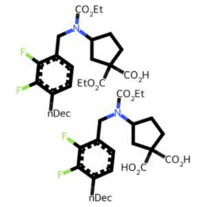 CCCCCCCCCCc1ccc(CN(C(=O)OCC)C2CCC(C(=O)O)(C(=O)O)C2)c(F)c1F.CCCCCCCCCCc1ccc(CN(C(=O)OCC)C2CCC(C(=O)O)(C(=O)OCC)C2)c(F)c1F